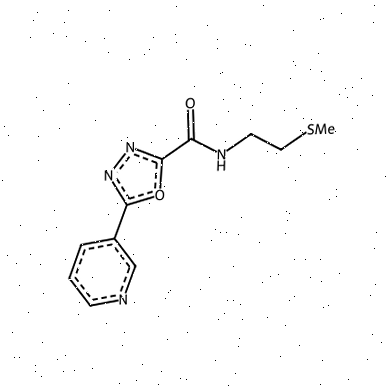 CSCCNC(=O)c1nnc(-c2cccnc2)o1